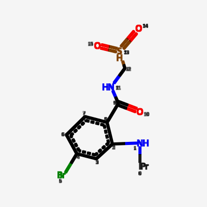 CC(C)Nc1cc(Br)ccc1C(=O)NC[SH](=O)=O